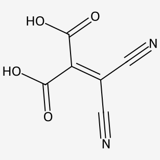 N#CC(C#N)=C(C(=O)O)C(=O)O